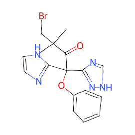 CC(C)(CBr)C(=O)C(Oc1ccccc1)(c1nc[nH]n1)c1ncc[nH]1